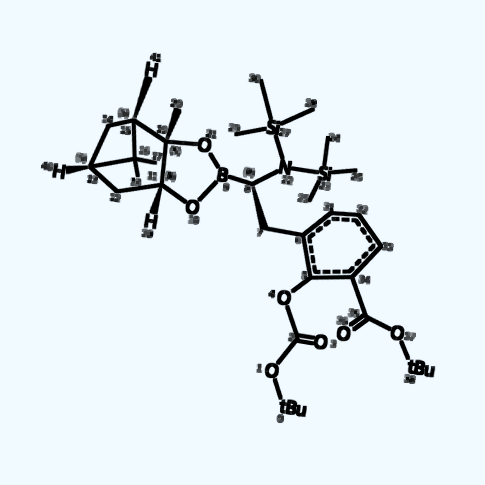 CC(C)(C)OC(=O)Oc1c(C[C@@H](B2O[C@@H]3C[C@@H]4C[C@@H](C4(C)C)[C@]3(C)O2)N([Si](C)(C)C)[Si](C)(C)C)cccc1C(=O)OC(C)(C)C